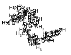 C[C@H](NCN1CCC[C@H]1C(=O)C(=O)[C@H](CC(N)=O)NN[C@@H](CS)C(=O)C(=O)[C@H](CS)NC(=O)[C@H](Cc1ccc(O)cc1)NN[C@@H](CCC(=O)O)C(=O)N[C@@H](CS)C(=O)C(=O)C(=O)CSS)C(=O)CN[C@@H](CS)C(=O)N[C@H](C(=O)NCC(=O)N[C@@H](CS)C(=O)C(=O)[C@H](Cc1ccc(O)cc1)NO)[C@@H](C)O